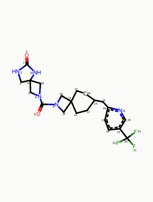 O=C1NCC2(CN(C(=O)N3CC4(CCC(Cc5ccc(C(F)(F)F)cn5)CC4)C3)C2)N1